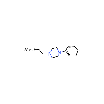 COCCN1CCN(C2=CC[CH]C=C2)CC1